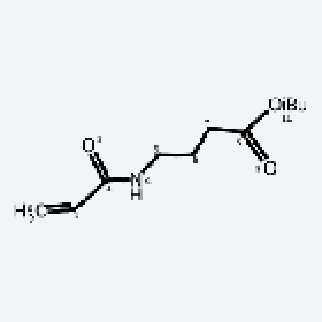 C=CC(=O)NCCCC(=O)OCC(C)C